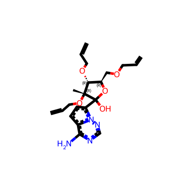 C=CCOC[C@H]1OC(O)(c2ccc3c(N)ncnn23)[C@](C)(OCC=C)[C@@H]1OCC=C